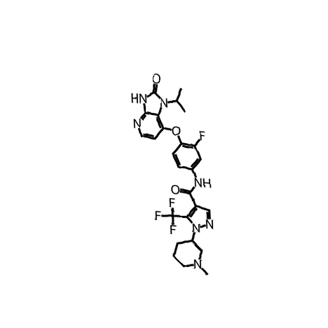 CC(C)n1c(=O)[nH]c2nccc(Oc3ccc(NC(=O)c4cnn(C5CCCN(C)C5)c4C(F)(F)F)cc3F)c21